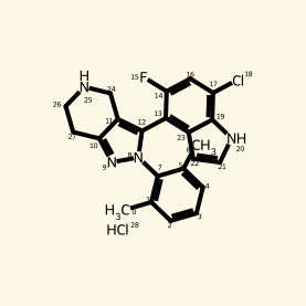 Cc1cccc(C)c1-n1nc2c(c1-c1c(F)cc(Cl)c3[nH]ccc13)CNCC2.Cl